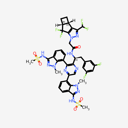 Cn1nc(NS(C)(=O)=O)c2cccc(-c3cnc([C@H](Cc4cc(F)cc(F)c4)NC(=O)Cn4nc(C(F)F)c5c4C(F)(F)[C@@H]4CC[C@H]54)c(-c4cccc5c(NS(C)(=O)=O)nn(C)c45)n3)c21